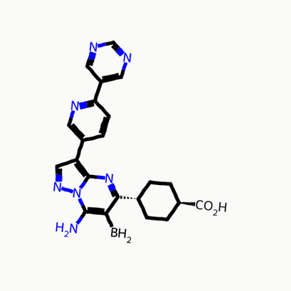 Bc1c(N)n2ncc(-c3ccc(-c4cncnc4)nc3)c2nc1[C@H]1CC[C@H](C(=O)O)CC1